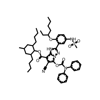 CCCCC(CC)Oc1ccc(NS(C)(=O)=O)cc1-c1nn2c(OC(=O)N(c3ccccc3)c3ccccc3)c(C#N)c(C(=O)OC3C(CCCC)CC(C)CC3CCCC)c2[nH]1